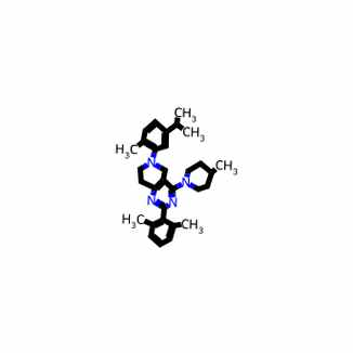 Cc1ccc(C(C)C)cc1N1CCc2nc(-c3c(C)cccc3C)nc(N3CCC(C)CC3)c2C1